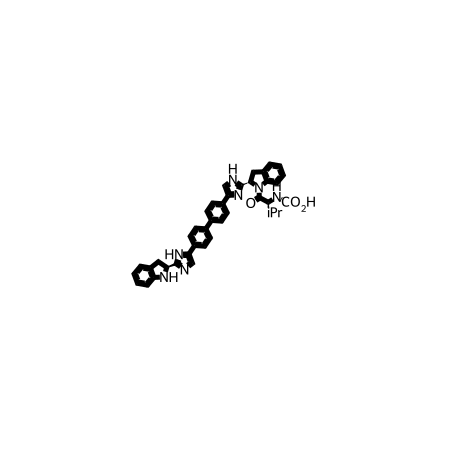 CC(C)[C@@H](NC(=O)O)C(=O)N1c2ccccc2C[C@H]1c1nc(-c2ccc(-c3ccc(-c4cnc([C@@H]5Cc6ccccc6N5)[nH]4)cc3)cc2)c[nH]1